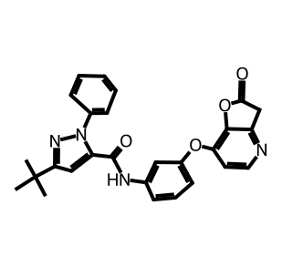 CC(C)(C)c1cc(C(=O)Nc2cccc(Oc3ccnc4c3OC(=O)C4)c2)n(-c2ccccc2)n1